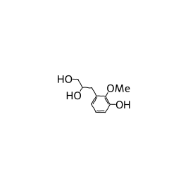 COc1c(O)cccc1CC(O)CO